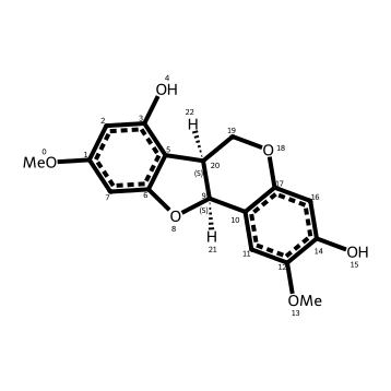 COc1cc(O)c2c(c1)O[C@@H]1c3cc(OC)c(O)cc3OC[C@H]21